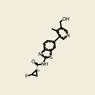 Cc1c(CO)cncc1-c1ccc2nc(NC(=O)[C@@H]3CC3F)sc2c1